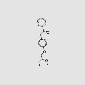 CCC(COc1ccc(CC(=O)c2ccccc2)cc1)OC